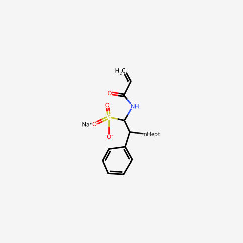 C=CC(=O)NC(C(CCCCCCC)c1ccccc1)S(=O)(=O)[O-].[Na+]